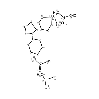 C1CCOC1.C1CCOCC1.C1CCOCC1.CC#N.CC(C)C(N)=O.CN(C)C=O.C[S+](C)[O-]